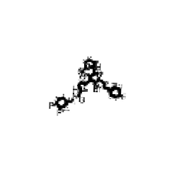 O=C(NCc1ccc(F)c(F)c1)c1ccc(-c2c(Br)c(CCc3ccc(F)cc3)nc3c2S(=O)(=O)N2CCC[C@@H]32)s1